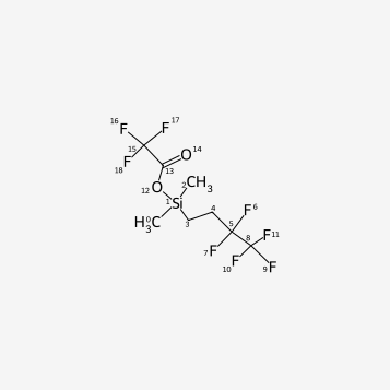 C[Si](C)(CCC(F)(F)C(F)(F)F)OC(=O)C(F)(F)F